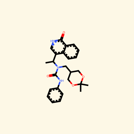 CC(c1c[nH]c(=O)c2ccccc12)N(CC1COC(C)(C)OC1)C(=O)Nc1ccccc1